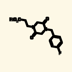 CCOC(=O)CCN1CC(=O)N(Cc2ccc(F)cc2)CC1=O